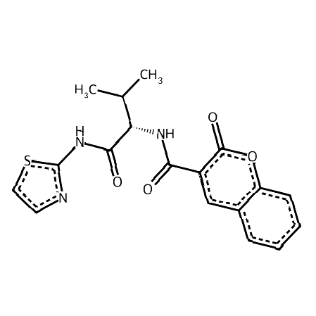 CC(C)[C@H](NC(=O)c1cc2ccccc2oc1=O)C(=O)Nc1nccs1